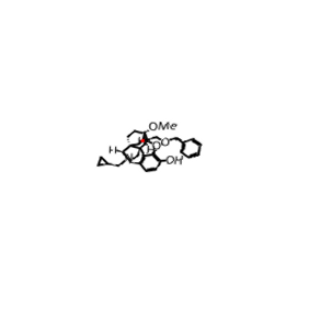 CO[C@]12CC[C@@]3(C[C@H]1COCc1ccccc1)[C@H]1Cc4ccc(O)c5c4[C@@]3(CCN1CC1CC1)[C@H]2O5